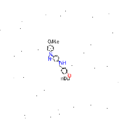 CCCCOc1ccc(CNc2ccc3c(c2)ncn3-c2ccc(OC)cc2)cc1